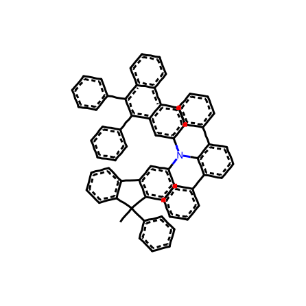 CC1(c2ccccc2)c2ccccc2-c2cc(N(c3ccc4c(c3)c(-c3ccccc3)c(-c3ccccc3)c3ccccc34)c3c(-c4ccccc4)cccc3-c3ccccc3)ccc21